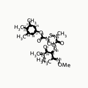 CON=C(C)C(=NOC(=O)N(C)SN(C)C(=O)Oc1cc(C)c(C)c(C)c1)C(=O)N(C)C